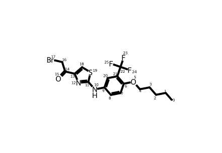 CCCCCOc1ccc(Nc2nc(C(=O)CBr)cs2)cc1C(F)(F)F